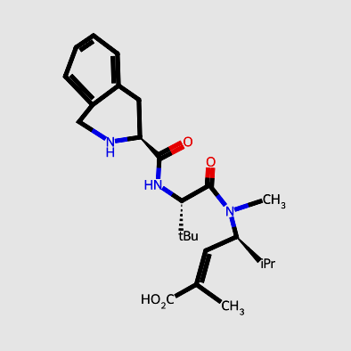 C/C(=C\[C@H](C(C)C)N(C)C(=O)[C@@H](NC(=O)[C@@H]1Cc2ccccc2CN1)C(C)(C)C)C(=O)O